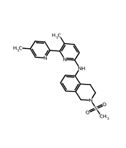 Cc1ccc(-c2nc(Nc3cccc4c3CCN(S(C)(=O)=O)C4)ccc2C)nc1